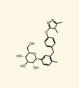 Cc1ccc([C@@H]2O[C@H](CO)[C@@H](O)[C@H](O)[C@H]2O)cc1Cc1ccc(Oc2nnc(C)n2C)cc1